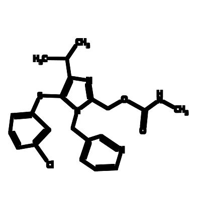 CNC(=O)OCc1nc(C(C)C)c(Sc2cccc(Cl)c2)n1Cc1cccnc1